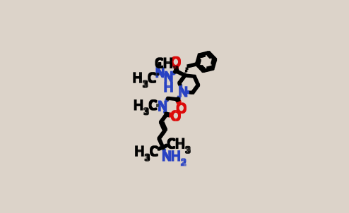 CN(C)NC(=O)[C@@]1(Cc2ccccc2)CCCN(C(=O)CN(C)C(=O)/C=C/CC(C)(C)N)C1